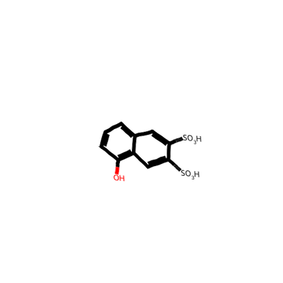 O=S(=O)(O)c1cc2cc[c]c(O)c2cc1S(=O)(=O)O